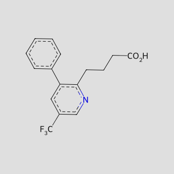 O=C(O)CCCc1ncc(C(F)(F)F)cc1-c1ccccc1